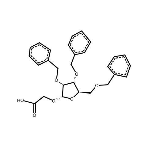 O=C(O)CO[C@H]1O[C@H](COCc2ccccc2)[C@@H](OCc2ccccc2)[C@H]1OCc1ccccc1